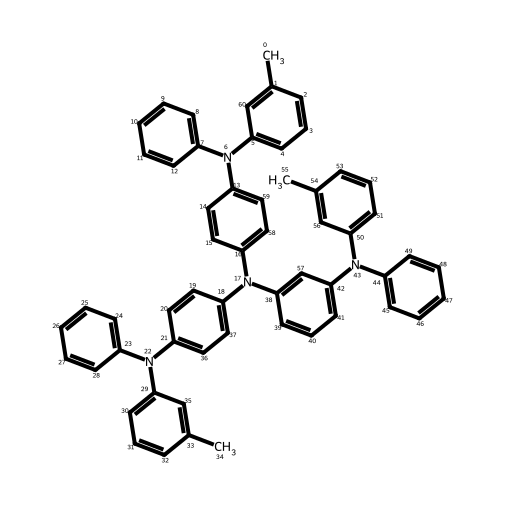 Cc1cccc(N(c2ccccc2)c2ccc(N(c3ccc(N(c4ccccc4)c4cccc(C)c4)cc3)c3cccc(N(c4ccccc4)c4cccc(C)c4)c3)cc2)c1